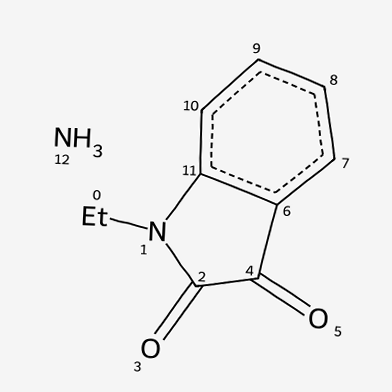 CCN1C(=O)C(=O)c2ccccc21.N